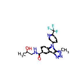 CC(O)CNC(=O)c1ccc2c(c1)c1nnn(C)c1n2-c1ccc(C(F)(F)F)nc1